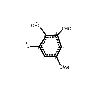 COc1cc(C)c(C=O)c(C=O)c1